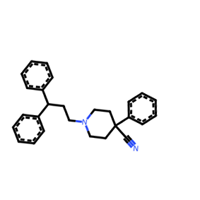 N#CC1(c2ccccc2)CCN(CCC(c2ccccc2)c2ccccc2)CC1